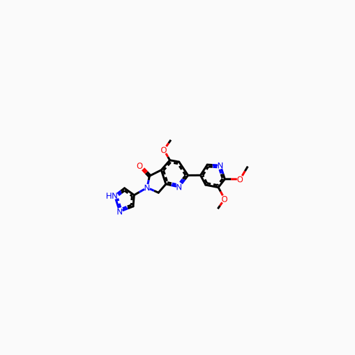 COc1cc(-c2cc(OC)c3c(n2)CN(c2cn[nH]c2)C3=O)cnc1OC